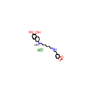 CCCN(CCCCCCNCCc1ccc2c(c1)OCO2)[C@H]1CCc2c(ccc(O)c2O)C1.Cl.Cl